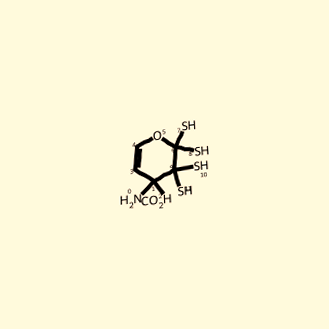 NC1(C(=O)O)C=COC(S)(S)C1(S)S